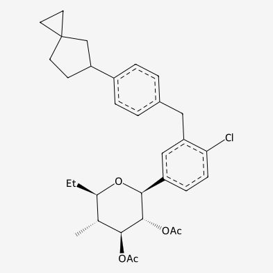 CC[C@H]1O[C@@H](c2ccc(Cl)c(Cc3ccc(C4CCC5(CC5)C4)cc3)c2)[C@H](OC(C)=O)[C@@H](OC(C)=O)[C@@H]1C